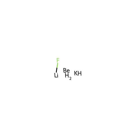 [BeH2].[KH].[Li][F]